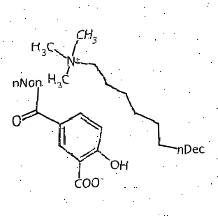 CCCCCCCCCC(=O)c1ccc(O)c(C(=O)[O-])c1.CCCCCCCCCCCCCCCC[N+](C)(C)C